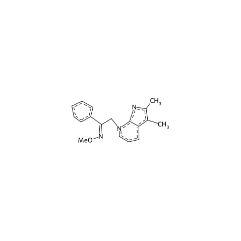 CON=C(Cn1cccc2c(C)c(C)nc1-2)c1ccccc1